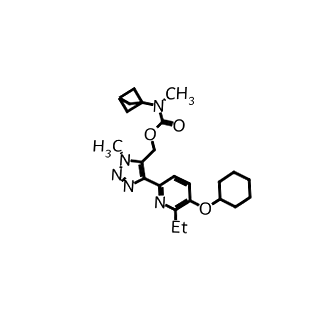 CCc1nc(-c2nnn(C)c2COC(=O)N(C)C23CC(C2)C3)ccc1OC1CCCCC1